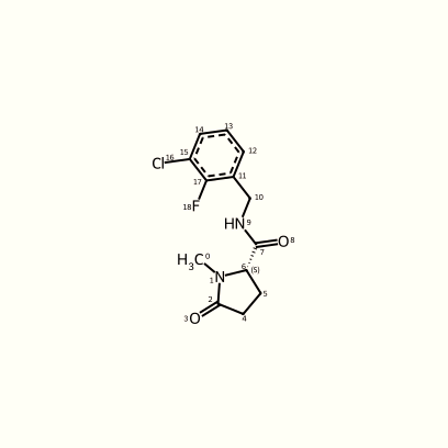 CN1C(=O)CC[C@H]1C(=O)NCc1cccc(Cl)c1F